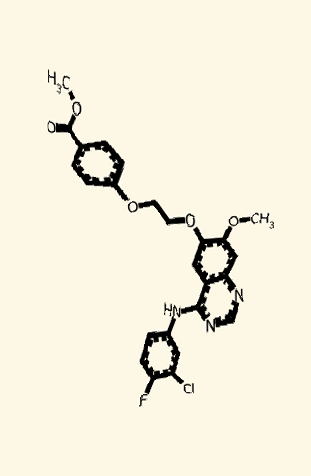 COC(=O)c1ccc(OCCOc2cc3c(Nc4ccc(F)c(Cl)c4)ncnc3cc2OC)cc1